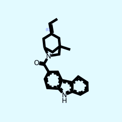 C/C=C1/CC2CC(C)(C1)CN2C(=O)c1ccc2[nH]c3ccccc3c2c1